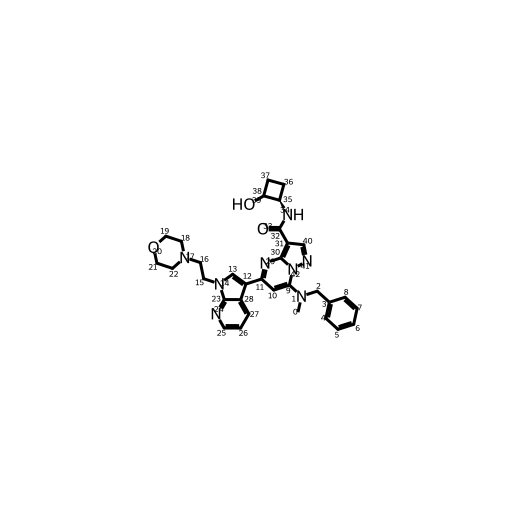 CN(Cc1ccccc1)c1cc(-c2cn(CCN3CCOCC3)c3ncccc23)nc2c(C(=O)N[C@@H]3CCC3O)cnn12